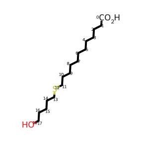 O=C(O)CCCCCCCCCCCSCCCCCO